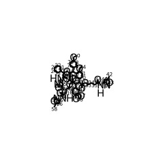 COc1ccc(C(C(=O)OC(C(=O)Nc2cc(C)on2)c2ccccc2)c2cc(C(C(=O)OCCCC(=O)Nc3cc(C)on3)C(C(=O)OCCCC(=O)Nc3cc(C)on3)c3ccc4c(c3)OCO4)ccc2OC)cc1